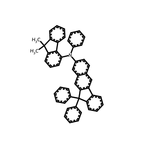 CC1(C)c2ccccc2-c2c(N(c3ccccc3)c3ccc4cc5c(cc4c3)C(c3ccccc3)(c3ccccc3)c3ccccc3-5)cccc21